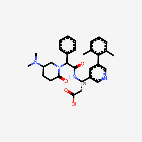 Cc1cccc(C)c1-c1cncc([C@H](CC(=O)O)NC(=O)C(c2ccccc2)N2CC(N(C)C)CCC2=O)c1